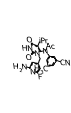 CC(=O)N(c1cc(C)cc(C#N)c1)c1c(C(C)C)c(=O)[nH]c(=O)n1Cc1cc(N)nc(F)c1